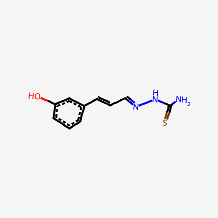 NC(=S)NN=C/C=C/c1cccc(O)c1